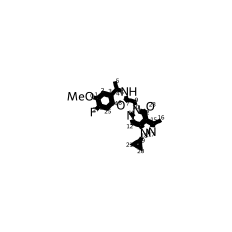 COc1cc(C(C)NC(=O)Cn2ncc3c(c(C)nn3C3CC3)c2=O)ccc1F